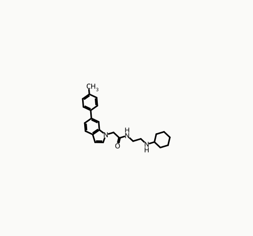 Cc1ccc(-c2ccc3ccn(CC(=O)NCCNC4CCCCC4)c3c2)cc1